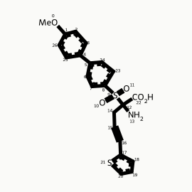 COc1ccc(-c2ccc(S(=O)(=O)C(N)(CC#Cc3cccs3)C(=O)O)cc2)cc1